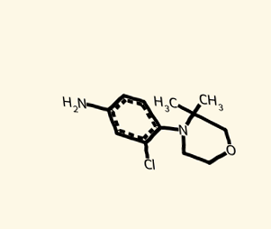 CC1(C)COCCN1c1ccc(N)cc1Cl